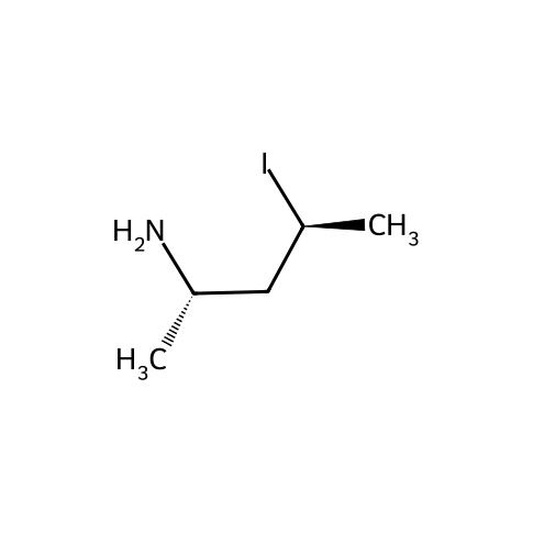 C[C@H](N)C[C@H](C)I